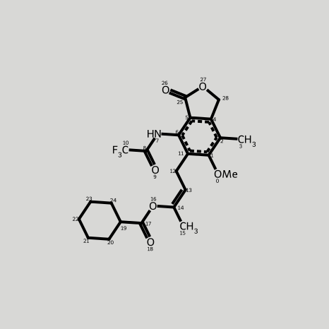 COc1c(C)c2c(c(NC(=O)C(F)(F)F)c1CC=C(C)OC(=O)C1CCCCC1)C(=O)OC2